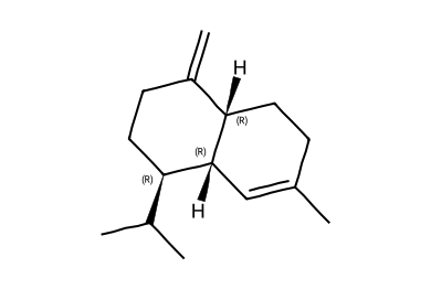 C=C1CC[C@H](C(C)C)[C@H]2C=C(C)CC[C@@H]12